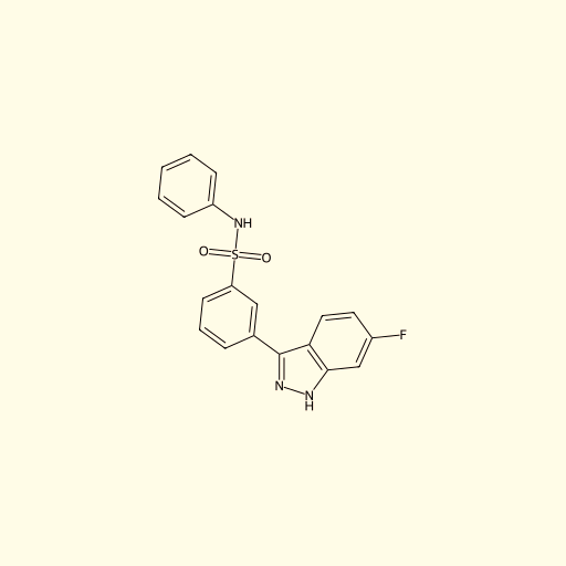 O=S(=O)(Nc1ccccc1)c1cccc(-c2n[nH]c3cc(F)ccc23)c1